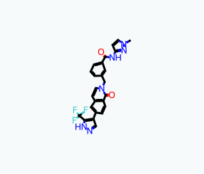 Cn1ccc(NC(=O)c2cccc(Cn3ccc4cc(-c5cn[nH]c5C(F)(F)F)ccc4c3=O)c2)n1